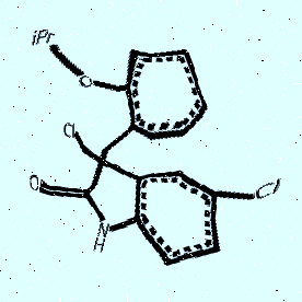 CC(C)Oc1ccccc1C1(Cl)C(=O)Nc2ccc(Cl)cc21